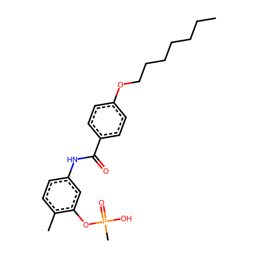 CCCCCCCOc1ccc(C(=O)Nc2ccc(C)c(OP(C)(=O)O)c2)cc1